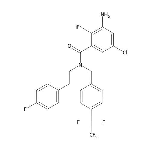 CC(C)c1c(N)cc(Cl)cc1C(=O)N(CCc1ccc(F)cc1)Cc1ccc(C(F)(F)C(F)(F)F)cc1